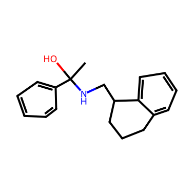 CC(O)(NCC1CCCc2ccccc21)c1ccccc1